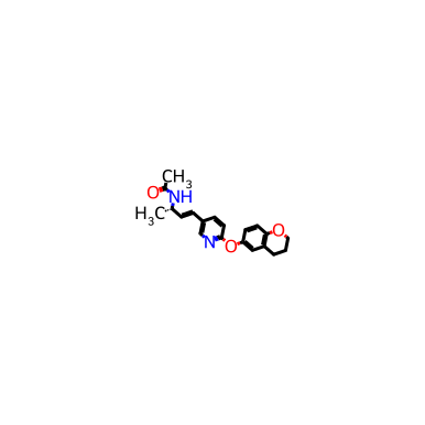 CC(=O)N[C@@H](C)/C=C/c1ccc(Oc2ccc3c(c2)CCCO3)nc1